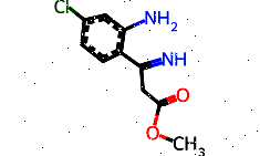 COC(=O)CC(=N)c1ccc(Cl)cc1N